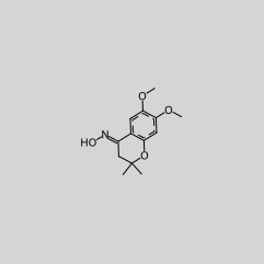 COc1cc2c(cc1OC)C(=NO)CC(C)(C)O2